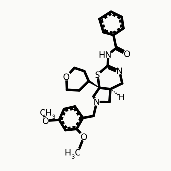 COc1ccc(CN2C[C@@H]3CN=C(NC(=O)c4ccccc4)S[C@@]3(C3CCOCC3)C2)c(OC)c1